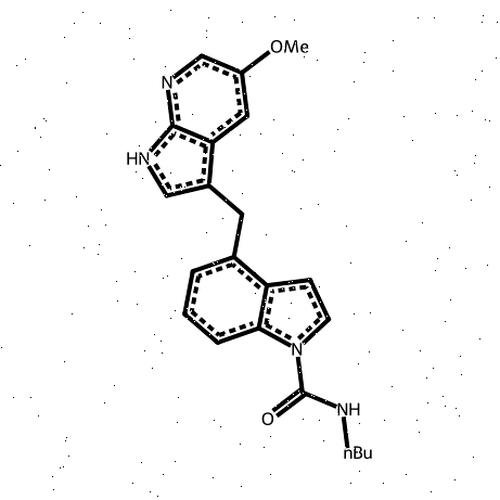 CCCCNC(=O)n1ccc2c(Cc3c[nH]c4ncc(OC)cc34)cccc21